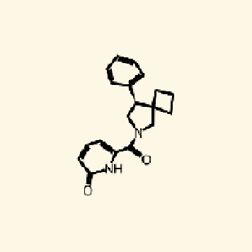 O=C(c1cccc(=O)[nH]1)N1C[C@@H](c2ccccc2)C2(CCC2)C1